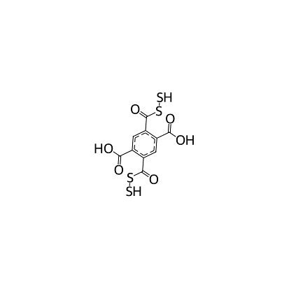 O=C(O)c1cc(C(=O)SS)c(C(=O)O)cc1C(=O)SS